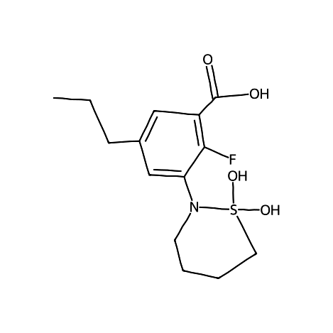 CCCc1cc(C(=O)O)c(F)c(N2CCCCS2(O)O)c1